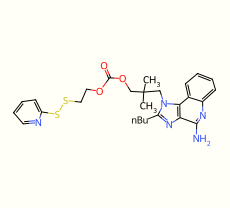 CCCCc1nc2c(N)nc3ccccc3c2n1CC(C)(C)COC(=O)OCCSSc1ccccn1